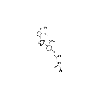 COc1cc(OCC(O)CNC(=O)CO)ccc1-c1noc(-c2scc(CC(C)C)c2C)n1